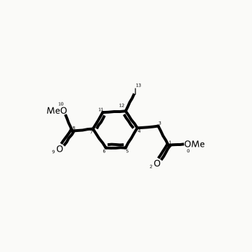 COC(=O)Cc1ccc(C(=O)OC)cc1I